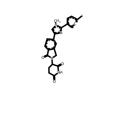 Cn1cc(-c2ccc3c(c2)CN(C2CCC(=O)NC2=O)C3=O)nc1-c1ccc(I)cc1